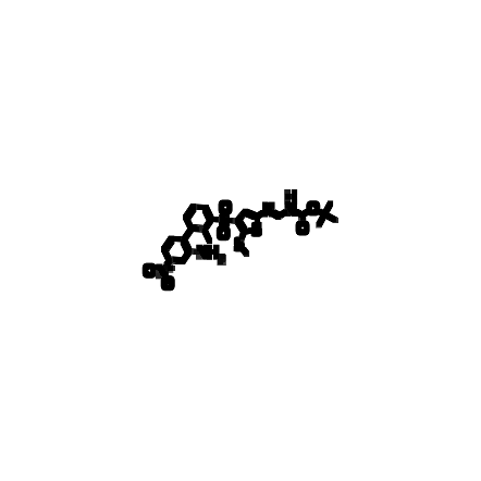 CSc1sc(N=CNC(=O)OC(C)(C)C)cc1S(=O)(=O)c1cccc(-c2ccc([N+](=O)[O-])cc2N)c1C